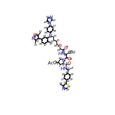 CC(=O)O[C@@H]1C[C@@H](C(=O)N[C@@H](C)c2ccc(-c3scnc3C)cc2)N(C(=O)[C@@H](NC(=O)COCCCCN(c2ccc(-n3ccnc3)cc2)c2cc(-c3c(C)noc3C)ccc2C)C(C)(C)C)C1